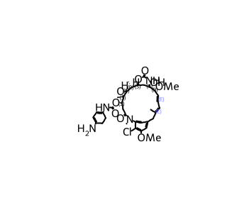 COc1cc2cc(c1Cl)N(C)C(=O)C[C@H](OC(=O)NC1=CC=C(N)CC1)[C@]1(C)O[C@H]1[C@H](C)[C@@H]1C[C@@](O)(NC(=O)O1)[C@H](OC)/C=C/C=C(\C)C2